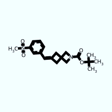 CC(C)(C)OC(=O)N1CC2(CC(=Cc3cccc(S(C)(=O)=O)c3)C2)C1